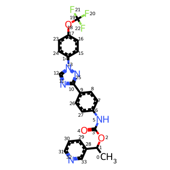 CC(OC(=O)Nc1ccc(-c2ncn(-c3ccc(OC(F)(F)F)cc3)n2)cc1)c1cccnc1